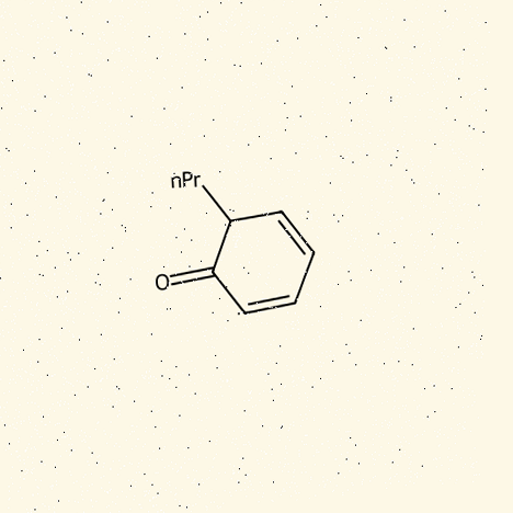 CCCC1C=CC=[C]C1=O